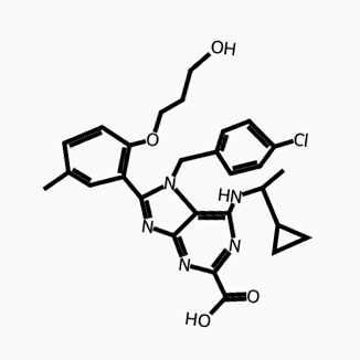 Cc1ccc(OCCCO)c(-c2nc3nc(C(=O)O)nc(NC(C)C4CC4)c3n2Cc2ccc(Cl)cc2)c1